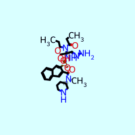 CCCN(C(=O)CC)[C@@](C=NN)(NS(=O)(=O)c1cc2ccccc2cc1C(=O)N(C)[C@H]1CCCNC1)C(=O)O